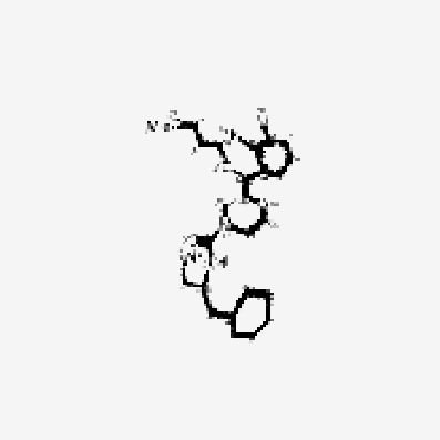 CNC[C@H](CC1CCCCC1)NC(=O)N1CCO[C@@H]([C@@H](OCCCOC)c2cccc(Cl)c2F)C1